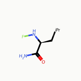 CC(C)C[C@H](NF)C(N)=O